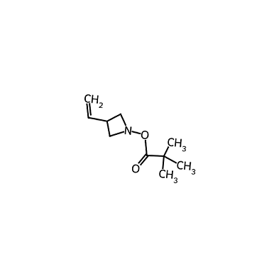 C=CC1CN(OC(=O)C(C)(C)C)C1